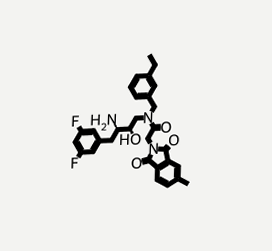 CCc1cccc(CN(C[C@@H](O)[C@@H](N)Cc2cc(F)cc(F)c2)C(=O)CN2C(=O)c3ccc(C)cc3C2=O)c1